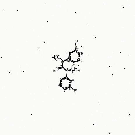 CC(C(=O)C(C)c1cccc(F)c1)c1cccc(F)c1